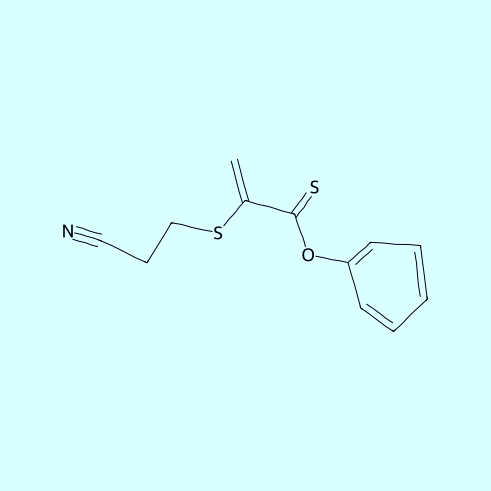 C=C(SCCC#N)C(=S)Oc1ccccc1